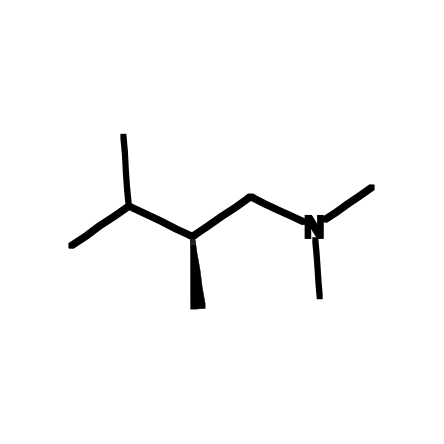 CC(C)[C@H](C)CN(C)C